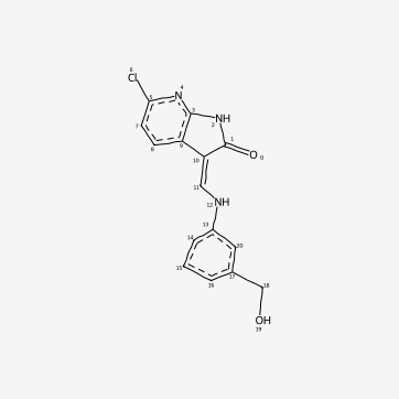 O=C1Nc2nc(Cl)ccc2C1=CNc1cccc(CO)c1